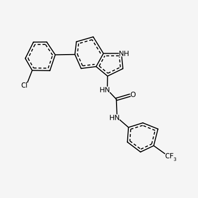 O=C(Nc1ccc(C(F)(F)F)cc1)Nc1c[nH]c2ccc(-c3cccc(Cl)c3)cc12